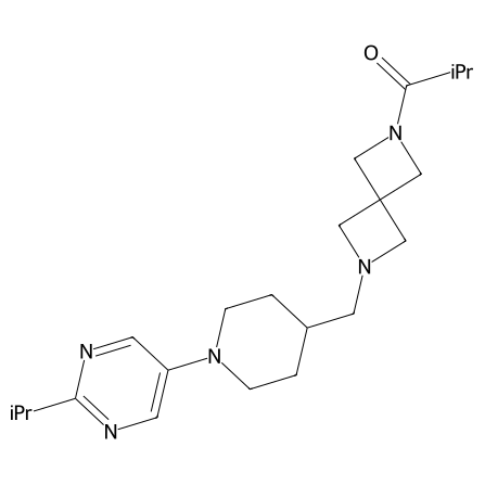 CC(C)C(=O)N1CC2(CN(CC3CCN(c4cnc(C(C)C)nc4)CC3)C2)C1